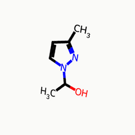 Cc1ccn(C(C)O)n1